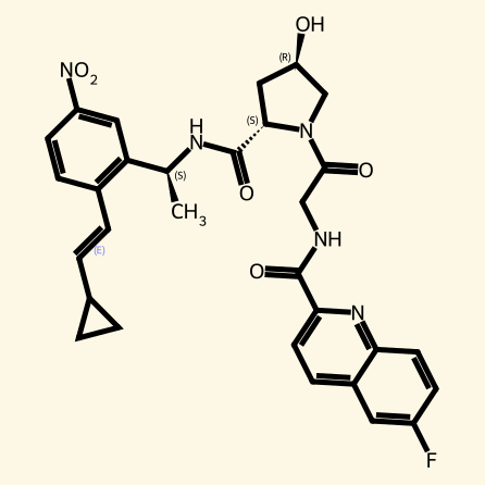 C[C@H](NC(=O)[C@@H]1C[C@@H](O)CN1C(=O)CNC(=O)c1ccc2cc(F)ccc2n1)c1cc([N+](=O)[O-])ccc1/C=C/C1CC1